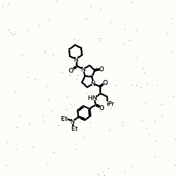 CCN(CC)c1ccc(C(=O)NC(CC(C)C)C(=O)N2CCC3C2C(=O)CN3C(=O)N2CCCCC2)cc1